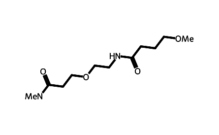 CNC(=O)CCOCCNC(=O)CCCOC